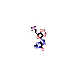 C=P(C)(C)CC[C@H]1O[C@@H](n2cnc3c(=O)[nH]c(C)nc32)[C@H](OC)[C@@H]1O